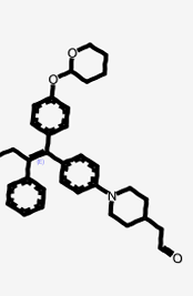 CC/C(=C(\c1ccc(OC2CCCCO2)cc1)c1ccc(N2CCC(CC=O)CC2)cc1)c1ccccc1